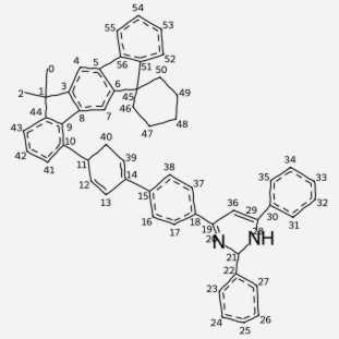 CC1(C)c2cc3c(cc2-c2c(C4C=CC(c5ccc(C6=NC(c7ccccc7)NC(c7ccccc7)=C6)cc5)=CC4)cccc21)C1(CCCCC1)c1ccccc1-3